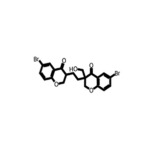 O=C1c2cc(Br)ccc2OCC1CCC1(CO)COc2ccc(Br)cc2C1=O